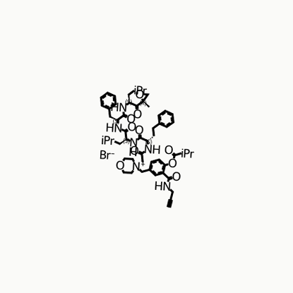 C#CCNC(=O)c1cc(C[N+]2(CC(=O)N[C@@H](CCc3ccccc3)C(=O)N[C@@H](CC(C)C)C(=O)N[C@@H](Cc3ccccc3)C(=O)N[C@@H](CC(C)C)C(=O)[C@@]3(C)CO3)CCOCC2)ccc1OC(=O)C(C)C.[Br-]